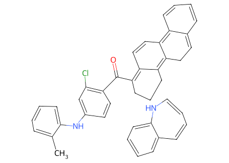 C1=CNc2ccccc2C=C1.Cc1ccccc1Nc1ccc(C(=O)C2=c3ccc4c(c3CCC2)CC=c2ccccc2=4)c(Cl)c1